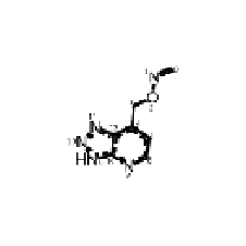 C=NOCc1ccnc2[nH]nnc12